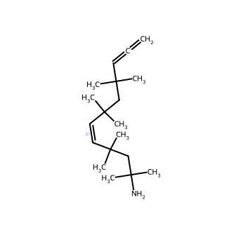 C=C=CC(C)(C)CC(C)(C)/C=C\C(C)(C)CC(C)(C)N